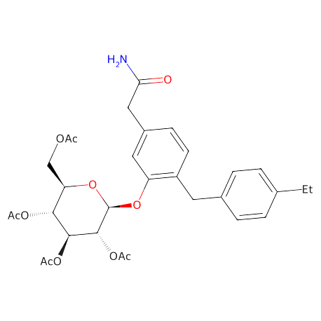 CCc1ccc(Cc2ccc(CC(N)=O)cc2O[C@@H]2O[C@H](COC(C)=O)[C@@H](OC(C)=O)[C@H](OC(C)=O)[C@H]2OC(C)=O)cc1